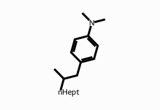 CCCCCCCC(C)Cc1ccc(N(C)C)cc1